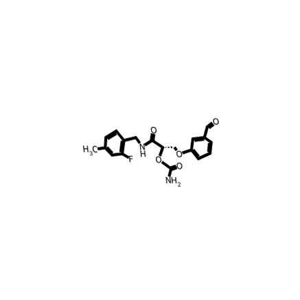 Cc1ccc(CNC(=O)[C@H](COc2cccc(C=O)c2)OC(N)=O)c(F)c1